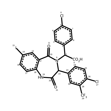 O=C(O)C(c1ccc(Cl)cc1)N1C(=O)c2cc(I)ccc2NC(=O)C1c1ccc(Cl)c(C(F)(F)F)c1